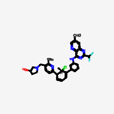 COc1nc(C2C=CC=C(c3cccc(Nc4nc(C(F)F)nc5cc(C=O)cnc45)c3)[C@@]2(C)Cl)ccc1CN1CCC(O)C1